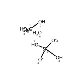 O.O=C(O)O.[Ca+2].[O-][Si]([O-])(O)O